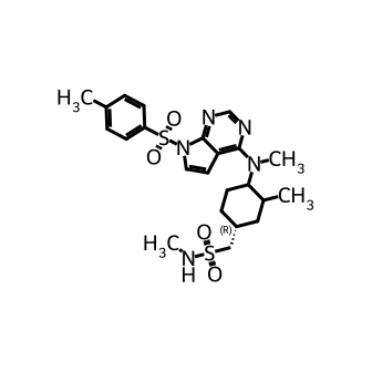 CNS(=O)(=O)C[C@@H]1CCC(N(C)c2ncnc3c2ccn3S(=O)(=O)c2ccc(C)cc2)C(C)C1